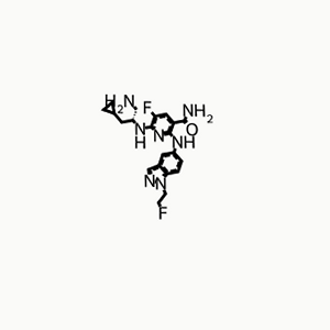 NC[C@@H](CC1CC1)Nc1nc(Nc2ccc3c(cnn3CCF)c2)c(C(N)=O)cc1F